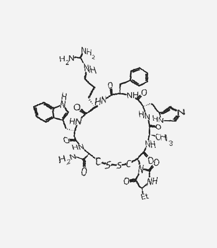 CC[C@@H]1NC(=O)N([C@H]2CSSC[C@@H](C(N)=O)NC(=O)[C@H](Cc3c[nH]c4ccccc34)NC(=O)[C@H](CCCNC(N)N)NC(=O)[C@@H](Cc3ccccc3)NC(=O)[C@H](Cc3cnc[nH]3)NC(=O)[C@@H](C)NC2=O)C1=O